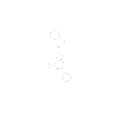 CC(NC(=O)c1nn2c(C(F)(F)F)cc(-c3ccc(Cl)cc3)nc2c1Cl)c1ccccc1